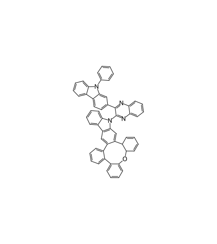 C1=CC2Oc3ccccc3-c3ccccc3-c3cc4c5ccccc5n(-c5nc6ccccc6nc5-c5ccc6c7ccccc7n(-c7ccccc7)c6c5)c4cc3C2C=C1